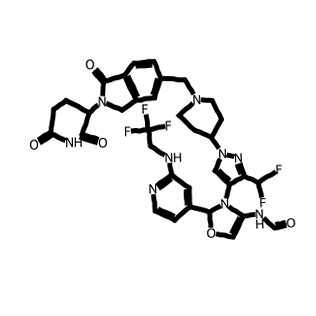 O=CNC1=COC(c2ccnc(NCC(F)(F)F)c2)N1c1cn(C2CCN(Cc3ccc4c(c3)CN(C3CCC(=O)NC3=O)C4=O)CC2)nc1C(F)F